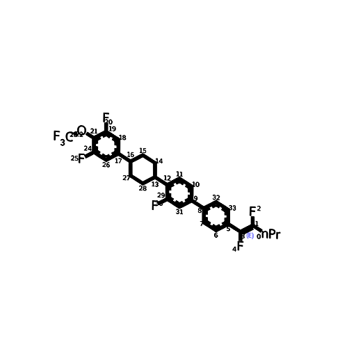 CCC/C(F)=C(\F)c1ccc(-c2ccc(C3CCC(c4cc(F)c(OC(F)(F)F)c(F)c4)CC3)c(F)c2)cc1